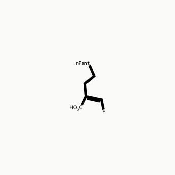 CCCCCCCC(=CF)C(=O)O